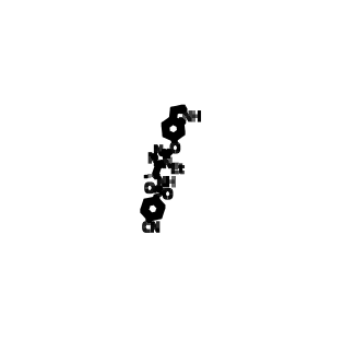 CCn1c(Oc2ccc3cc[nH]c3c2)nnc1[C@@H](C)NS(=O)(=O)c1ccc(C#N)cc1